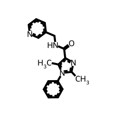 Cc1nc(C(=O)NCc2cccnc2)c(C)n1-c1ccccc1